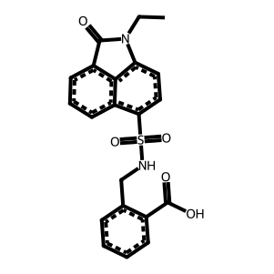 CCN1C(=O)c2cccc3c(S(=O)(=O)NCc4ccccc4C(=O)O)ccc1c23